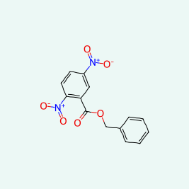 O=C(OCc1ccccc1)c1cc([N+](=O)[O-])ccc1[N+](=O)[O-]